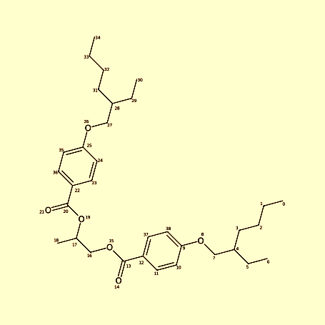 CCCCC(CC)COc1ccc(C(=O)OCC(C)OC(=O)c2ccc(OCC(CC)CCCC)cc2)cc1